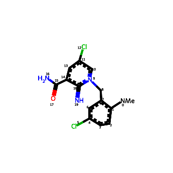 CNc1ccc(Cl)cc1Cn1cc(Cl)cc(C(N)=O)c1=N